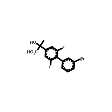 CC(C)c1cccc(-c2c(F)cc(C(C)(O)C(=O)O)cc2F)c1